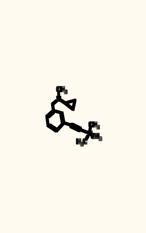 CN(Cc1cccc(C#C[Si](C)(C)C)c1)C1CC1